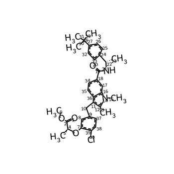 COC(=O)[C@H](C)Oc1cc(Cc2c(C)n(C)c3cc(C(=O)N[C@@H](C)c4ccc(C(C)(C)C)cc4)ccc23)ccc1Cl